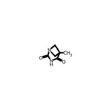 CC12CN(C1)C(=O)NC2=O